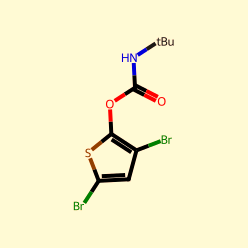 CC(C)(C)NC(=O)Oc1sc(Br)cc1Br